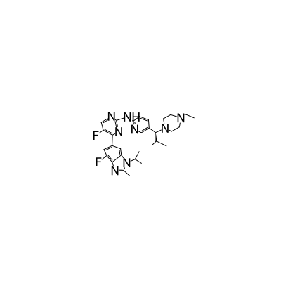 CCN1CCN([C@H](c2ccc(Nc3ncc(F)c(-c4cc(F)c5nc(C)n(C(C)C)c5c4)n3)nc2)C(C)C)CC1